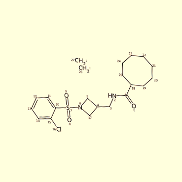 O=C(NCC1CN(S(=O)(=O)c2ccccc2Cl)C1)[C]1CCCCCCC1.[CH2].[CH2]